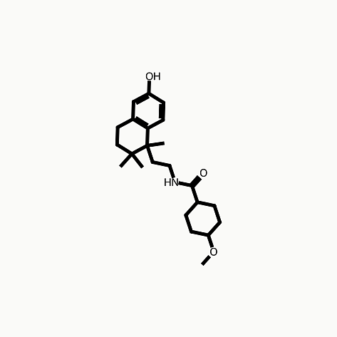 COC1CCC(C(=O)NCCC2(C)c3ccc(O)cc3CCC2(C)C)CC1